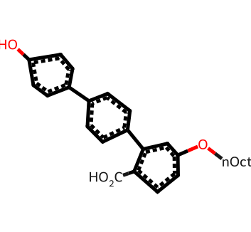 CCCCCCCCOc1ccc(C(=O)O)c(-c2ccc(-c3ccc(O)cc3)cc2)c1